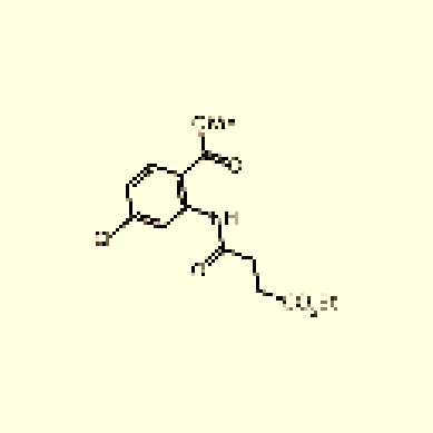 CCOC(=O)CCC(=O)Nc1cc(Cl)ccc1C(=O)OC